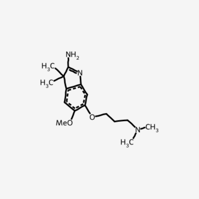 COc1cc2c(cc1OCCCN(C)C)N=C(N)C2(C)C